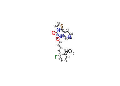 O=C(NOCC=CCc1c(F)cccc1[N+](=O)[O-])N1[C]=CSC1c1ccncc1